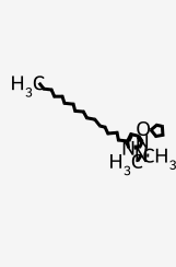 CCCCCCCCCCCCCCCCc1cc(OC2CCCC2)nc(N(C)C)n1